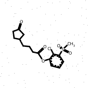 CS(=O)(=O)c1cccc(OC(=O)CCCC2CCC(=O)C2)c1Cl